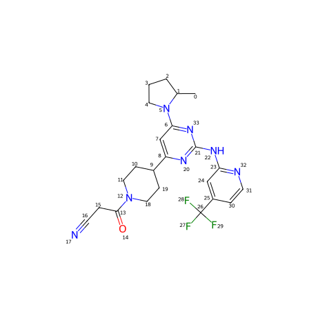 CC1CCCN1c1cc(C2CCN(C(=O)CC#N)CC2)nc(Nc2cc(C(F)(F)F)ccn2)n1